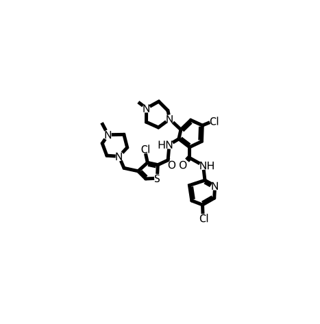 CN1CCN(Cc2csc(C(=O)Nc3c(C(=O)Nc4ccc(Cl)cn4)cc(Cl)cc3N3CCN(C)CC3)c2Cl)CC1